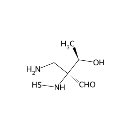 C[C@@H](O)[C@](C=O)(CN)NS